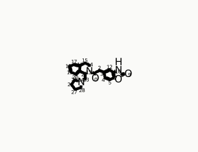 O=C(Cc1ccc2oc(=O)[nH]c2c1)N1CCc2ccccc2C1CN1CCCC1